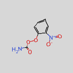 NC(=O)OOc1ccccc1[N+](=O)[O-]